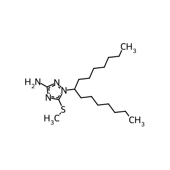 CCCCCCCC(CCCCCCC)n1nc(N)nc1SC